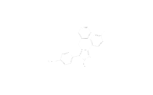 COc1ccc(-c2c(Cc3ccccc3)c(-c3ccc(C)cc3)nn2O)cc1